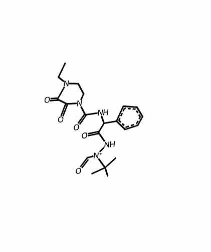 CCN1CCN(C(=O)NC(C(=O)N[N+](C=O)C(C)(C)C)c2ccccc2)C(=O)C1=O